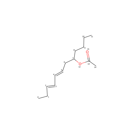 CCC=C/C=C/CC(CCCC)OC(C)=O